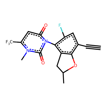 C#Cc1cc(F)c(-n2c(=O)cc(C(F)(F)F)n(C)c2=O)c2c1OC(C)C2